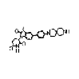 Cn1c(=O)n(C2CCC(=O)NC2=O)c2ccc(-c3ccc(N4CCC5(CCNCC5)CC4)cc3)cc21